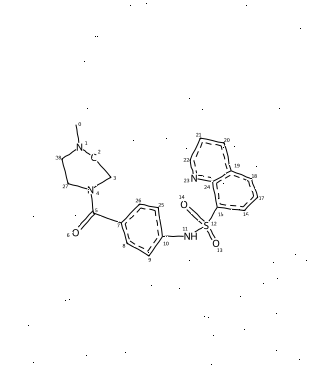 CN1CCN(C(=O)c2ccc(NS(=O)(=O)c3cccc4cccnc34)cc2)CC1